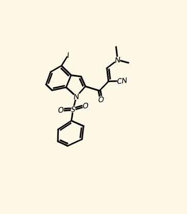 CN(C)C=C(C#N)C(=O)c1cc2c(I)cccc2n1S(=O)(=O)c1ccccc1